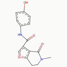 CN1CCc2occ(C(=O)Nc3ccc(O)cc3)c2C1=O